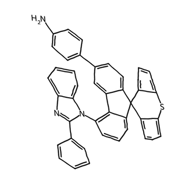 Nc1ccc(-c2ccc3c(c2)-c2c(-n4c(-c5ccccc5)nc5ccccc54)cccc2C32c3ccccc3Sc3ccccc32)cc1